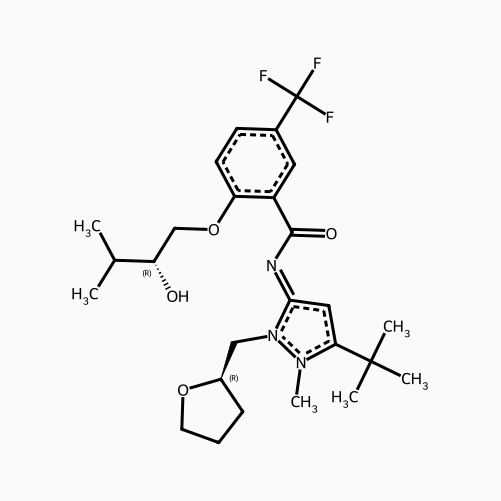 CC(C)[C@@H](O)COc1ccc(C(F)(F)F)cc1C(=O)N=c1cc(C(C)(C)C)n(C)n1C[C@H]1CCCO1